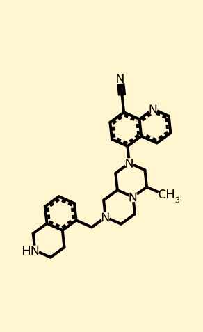 CC1CN(c2ccc(C#N)c3ncccc23)CC2CN(Cc3cccc4c3CCNC4)CCN12